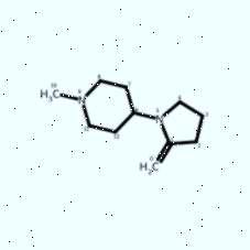 C=C1CCCN1C1CCN(C)CC1